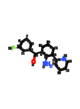 Nc1c(C(=O)c2cccc(F)c2)cccc1-c1ccccn1